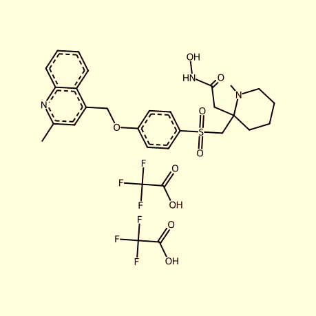 Cc1cc(COc2ccc(S(=O)(=O)CC3(CC(=O)NO)CCCCN3C)cc2)c2ccccc2n1.O=C(O)C(F)(F)F.O=C(O)C(F)(F)F